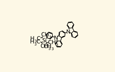 CC(C)[Si](c1cccc(-n2c3ccccc3c3cc(-n4c5ccccc5c5ccccc54)ccc32)c1)(C(C)C)C(C)C